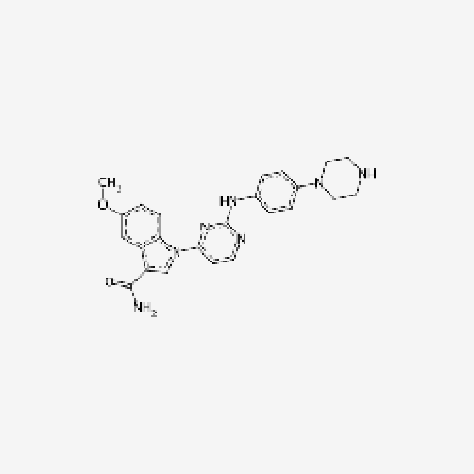 COc1ccc2c(c1)c(C(N)=O)cn2-c1ccnc(Nc2ccc(N3CCNCC3)cc2)n1